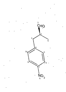 C[C@H](C=O)Cc1ccc([N+](=O)[O-])cc1